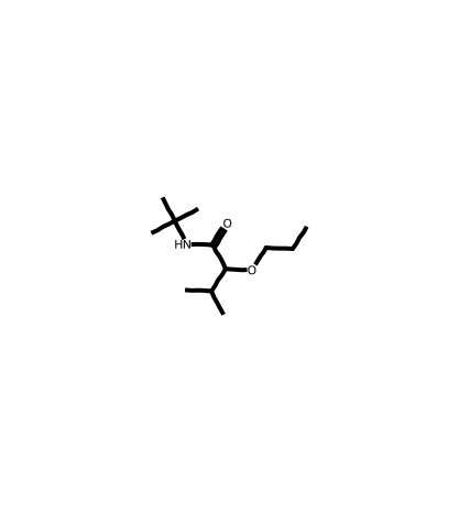 CCCOC(C(=O)NC(C)(C)C)C(C)C